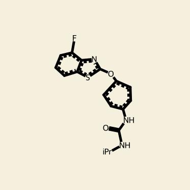 CC(C)NC(=O)Nc1ccc(Oc2nc3c(F)cccc3s2)cc1